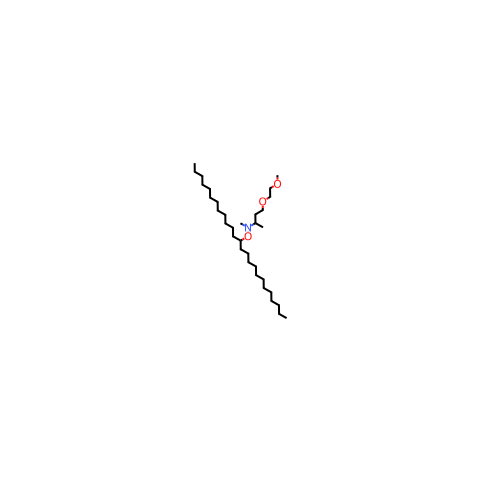 CCCCCCCCCCCCC(CCCCCCCCCCCC)ON(C)C(C)CCOCCOC